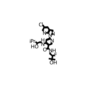 CC(C)C(O)CNc1cc(-n2ncc3cc(Cl)cnc32)ncc1C(=O)NCC(F)C(C)(C)O